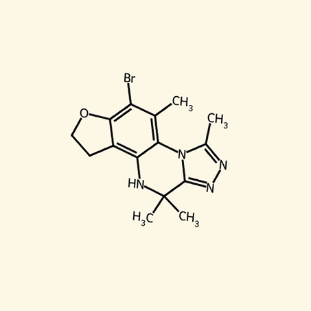 Cc1c(Br)c2c(c3c1-n1c(C)nnc1C(C)(C)N3)CCO2